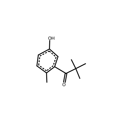 Cc1ccc(O)cc1C(=O)C(C)(C)C